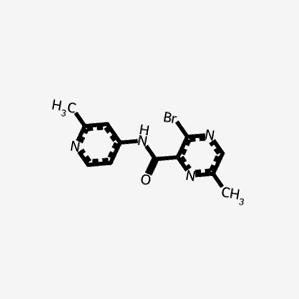 Cc1cc(NC(=O)c2nc(C)cnc2Br)ccn1